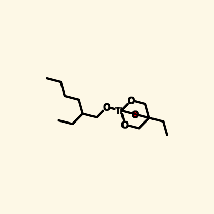 CCCCC(CC)C[O][Ti]12[O]CC(CC)(C[O]1)C[O]2